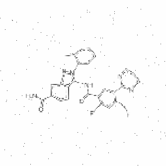 Cc1ccccc1-n1nc2cc(C(N)=O)ccc2c1NC(=O)c1cc(-c2ncccn2)c(CF)cc1F